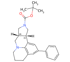 CC(C)(C)OC(=O)N1C[C@H]2CN3CCCc4cc(-c5ccccc5)cc(c43)[C@H]2C1